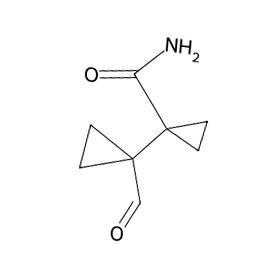 NC(=O)C1(C2(C=O)CC2)CC1